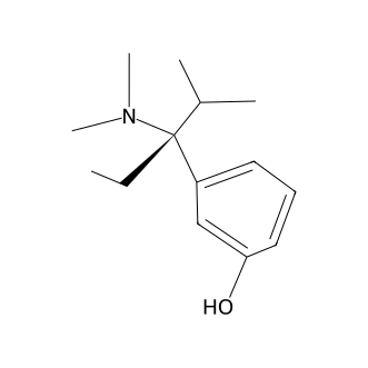 CC[C@](c1cccc(O)c1)(C(C)C)N(C)C